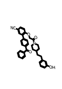 N#Cc1ccc(OCC(=O)N2CCC(CCc3cccc(O)c3)CC2)c(-c2ccc(C(=O)c3ccccc3)cc2)c1